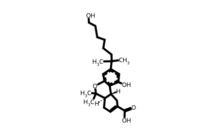 CC(C)(CCCCCCO)c1cc(O)c2c(c1)OC(C)(C)[C@@H]1CC=C(C(=O)O)C[C@@H]21